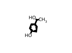 CC(O)c1ccc(O)cc1